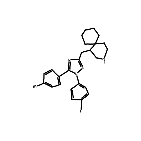 CC(C)c1ccc(-c2nc(CC3CNCCC34CCCCC4)nn2-c2ccc(F)cc2)cc1